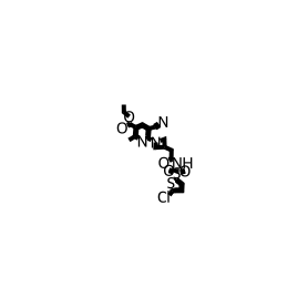 CCOC(=O)c1cc(C#N)c(N2CC(CC(=O)NS(=O)(=O)c3ccc(Cl)s3)C2)nc1C